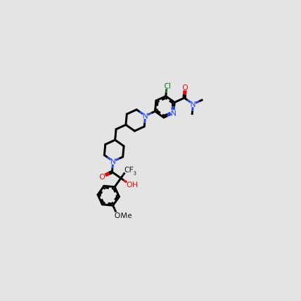 COc1cccc(C(O)(C(=O)N2CCC(CC3CCN(c4cnc(C(=O)N(C)C)c(Cl)c4)CC3)CC2)C(F)(F)F)c1